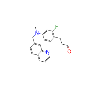 CN(Cc1ccc2cccnc2c1)c1ccc(CCC=O)c(F)c1